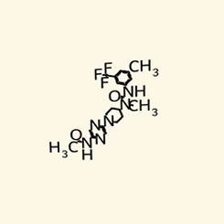 CC(=O)Nc1cnc(N2CCC(N(C)C(=O)Nc3cc(C)cc(C(F)(F)F)c3)CC2)cn1